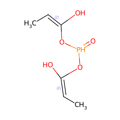 C/C=C(/O)O[PH](=O)O/C(O)=C\C